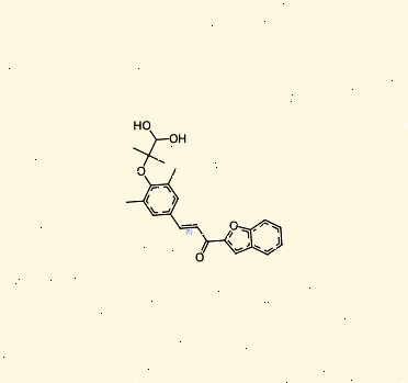 Cc1cc(/C=C/C(=O)c2cc3ccccc3o2)cc(C)c1OC(C)(C)C(O)O